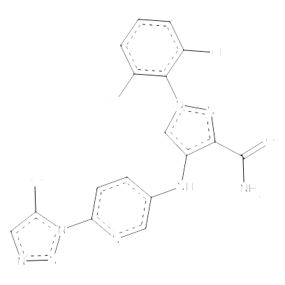 NC(=O)c1nn(-c2c(Cl)cccc2Cl)cc1Nc1ccc(-n2nncc2C(F)(F)F)nc1